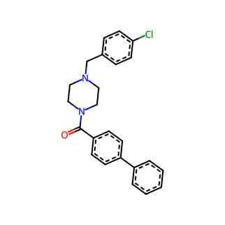 O=C(c1ccc(-c2ccccc2)cc1)N1CCN(Cc2ccc(Cl)cc2)CC1